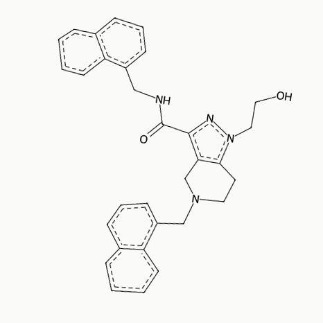 O=C(NCc1cccc2ccccc12)c1nn(CCO)c2c1CN(Cc1cccc3ccccc13)CC2